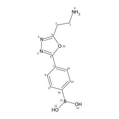 NCCc1nnc(-c2ccc(B(O)O)cc2)o1